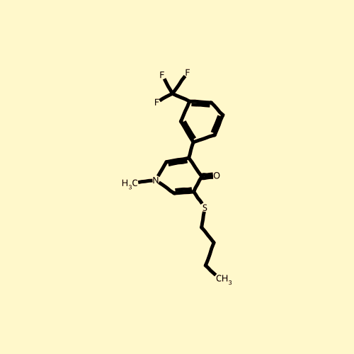 CCCCSc1cn(C)cc(-c2cccc(C(F)(F)F)c2)c1=O